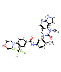 Cc1ccc(NC(=O)c2ccc(N3CCOCC3)c(C(F)(F)F)c2)cc1N1Cc2cnc3[nH]ccc3c2N(C)C1=O